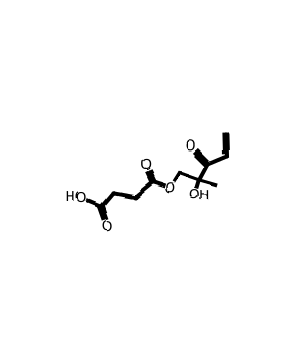 C=CC(=O)C(C)(O)COC(=O)CCC(=O)O